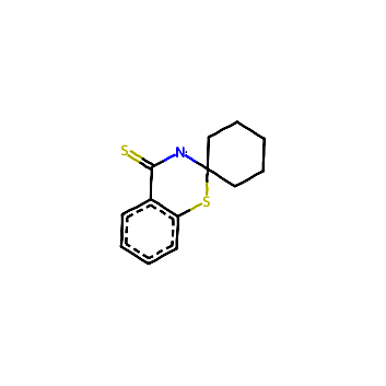 S=C1[N]C2(CCCCC2)Sc2ccccc21